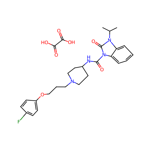 CC(C)n1c(=O)n(C(=O)NC2CCN(CCCOc3ccc(F)cc3)CC2)c2ccccc21.O=C(O)C(=O)O